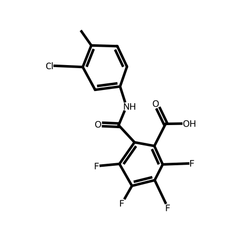 Cc1ccc(NC(=O)c2c(F)c(F)c(F)c(F)c2C(=O)O)cc1Cl